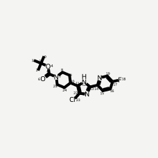 CC(C)(C)OC(=O)N1CCC(c2[nH]c(-c3ccc(F)cn3)nc2Cl)CC1